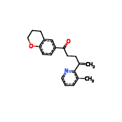 C=C(CCC(=O)c1ccc2c(c1)CCCO2)c1ncccc1C